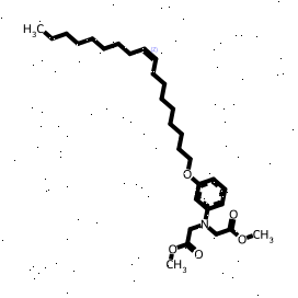 CCCCCCCC/C=C\CCCCCCCCOc1cccc(N(CC(=O)OC)CC(=O)OC)c1